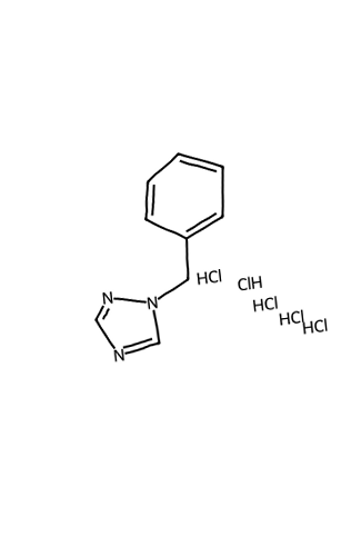 Cl.Cl.Cl.Cl.Cl.c1ccc(Cn2cncn2)cc1